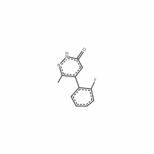 Cc1n[nH]c(=O)cc1-c1ccccc1F